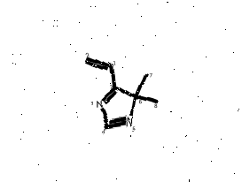 C=CC1=NC=NC1(C)C